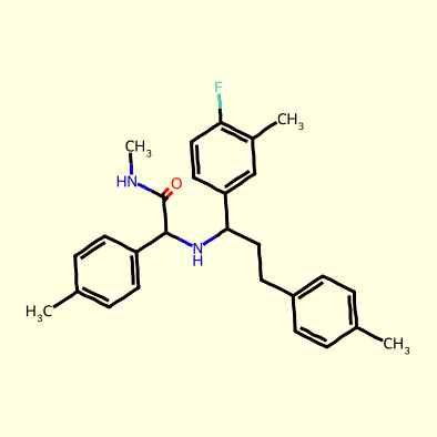 CNC(=O)C(NC(CCc1ccc(C)cc1)c1ccc(F)c(C)c1)c1ccc(C)cc1